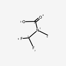 CN(C([O])=O)C(F)F